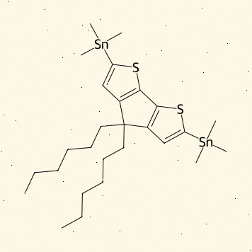 CCCCCCC1(CCCCCC)c2c[c]([Sn]([CH3])([CH3])[CH3])sc2-c2s[c]([Sn]([CH3])([CH3])[CH3])cc21